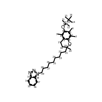 Cc1c(C)c2c(c(C)c1O[Si](C)(C)C(C)(C)C)CCC(C)(CCCCCCCCCn1nnc3ccccc31)O2